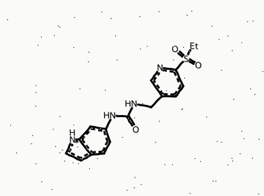 CCS(=O)(=O)c1ccc(CNC(=O)Nc2ccc3cc[nH]c3c2)cn1